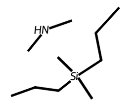 CCC[Si](C)(C)CCC.CNC